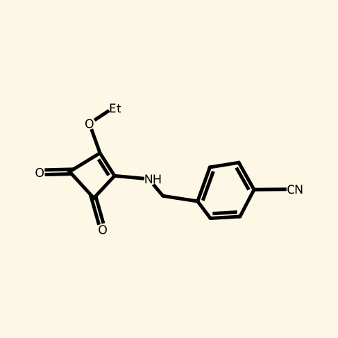 CCOc1c(NCc2ccc(C#N)cc2)c(=O)c1=O